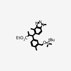 CCOC(=O)C(C)C(c1ccc(C)c(CO[Si](C)(C)C(C)(C)C)c1)c1ccc2c(nnn2C)c1C